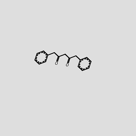 O=C(CC(=O)Cc1ccccc1)Cc1ccccc1